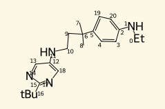 CCNc1ccc(C(C)(C)CCNc2cnc(C(C)(C)C)nc2)cc1